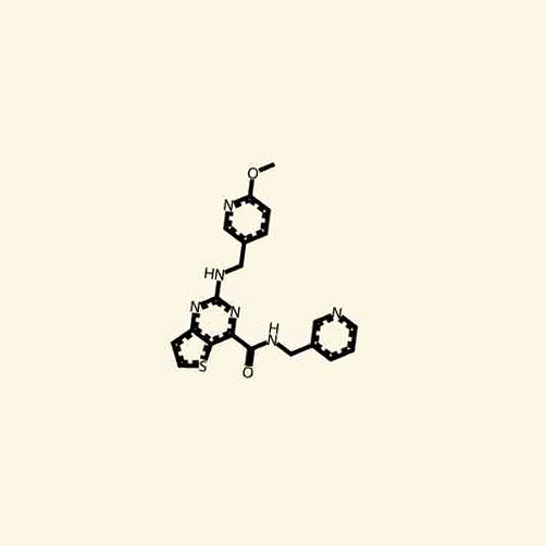 COc1ccc(CNc2nc(C(=O)NCc3cccnc3)c3sccc3n2)cn1